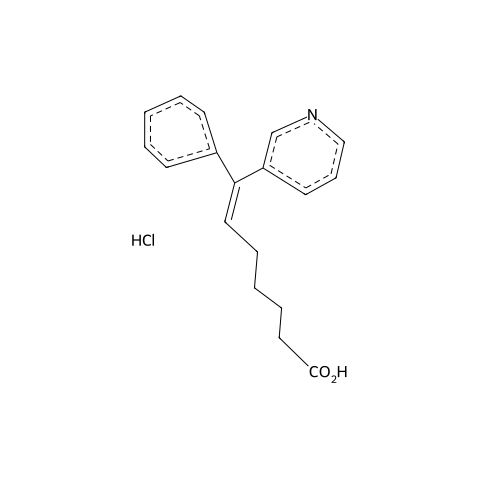 Cl.O=C(O)CCCCC=C(c1ccccc1)c1cccnc1